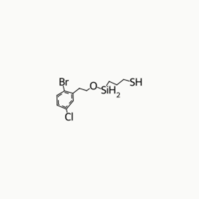 SCCC[SiH2]OCCc1cc(Cl)ccc1Br